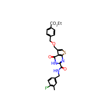 CCOC(=O)c1ccc(COCc2csc3nc(C(=O)NCc4ccc(F)c(C)c4)[nH]c(=O)c23)cc1